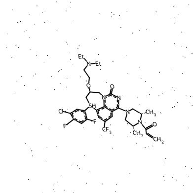 C=CC(=O)N1[C@H](C)CN(c2nc(=O)n3c4c(cc(C(F)(F)F)cc24)[SH](c2cc(Cl)c(F)cc2F)C[C@@H](OCCN(CC)CC)C3)C[C@@H]1C